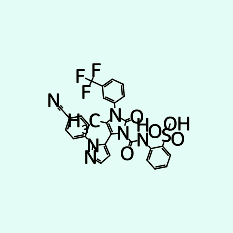 Cc1c(-c2ccnn2-c2ccc(C#N)cc2)n(C(=O)Nc2ccccc2S(=O)(=O)O)c(=O)n1-c1cccc(C(F)(F)F)c1